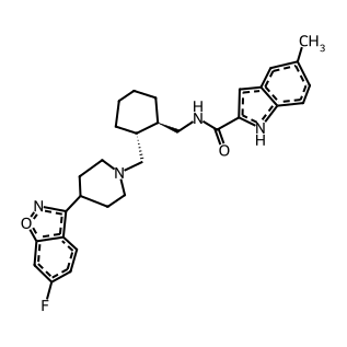 Cc1ccc2[nH]c(C(=O)NC[C@@H]3CCCC[C@H]3CN3CCC(c4noc5cc(F)ccc45)CC3)cc2c1